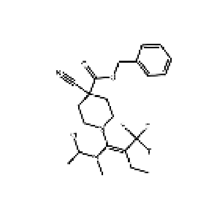 CC/C(=C(/N1CCC(C#N)(C(=O)OCc2ccccc2)CC1)N(C)C(C)Cl)C(F)(F)F